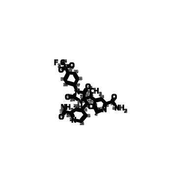 CC(c1ccnc(C(N)=O)c1)C1(C(C)c2ccnc(C(N)=O)c2)NC(=O)N(c2ccc(S(=O)(=O)C(F)(F)F)cc2)C1=O